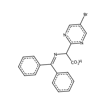 O=C(O)C(N=C(c1ccccc1)c1ccccc1)c1ncc(Br)cn1